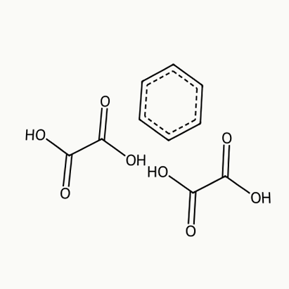 O=C(O)C(=O)O.O=C(O)C(=O)O.c1ccccc1